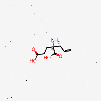 C=CC[C@](N)(CCC(=O)O)C(=O)O